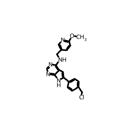 COc1ccc(CNc2ncnc3[nH]c(-c4ccc(CCl)cc4)cc23)cn1